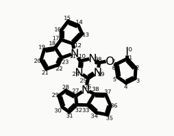 Ic1ccccc1Oc1nc(-n2c3ccccc3c3ccccc32)nc(-n2c3ccccc3c3ccccc32)n1